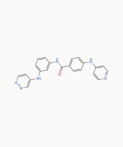 O=C(Nc1cccc(Nc2ccnnc2)c1)c1ccc(Nc2ccncc2)cc1